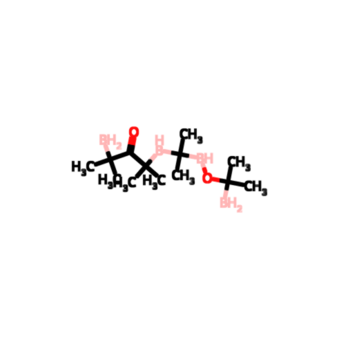 BC(C)(C)OBC(C)(C)BC(C)(C)C(=O)C(B)(C)C